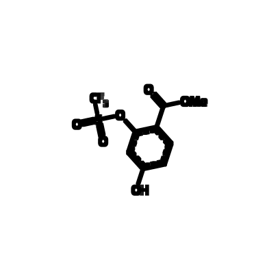 COC(=O)c1ccc(O)cc1OS(=O)(=O)C(F)(F)F